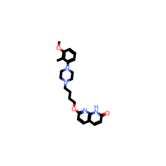 COc1cccc(N2CCN(CCCCOc3ccc4ccc(=O)[nH]c4n3)CC2)c1C